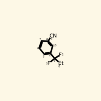 CCC(F)(F)c1cccc(C#N)c1